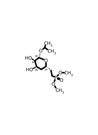 COP(=O)(CC[C@@H]1C[C@@H](O)[C@@H](O)[C@H](OC(C)C)O1)OC